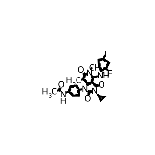 CC(=O)Nc1ccc(-n2c(=O)n(C3CC3)c(=O)c3c(Nc4ccc(I)cc4F)n(C)c(=O)c(C)c32)cc1